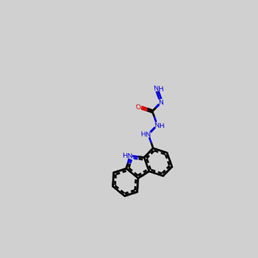 N=NC(=O)NNc1cccc2c1[nH]c1ccccc12